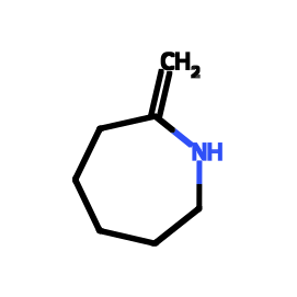 C=C1CCCCCN1